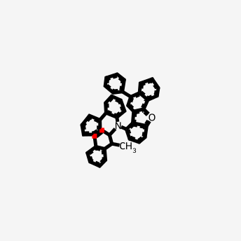 CC1c2ccccc2C=CC1N(c1ccccc1-c1ccccc1)c1cccc2oc3c4ccccc4c(-c4ccccc4)cc3c12